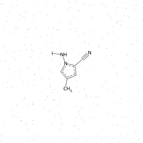 Cc1cc(C#N)n(NI)c1